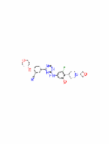 COc1cc(Nc2ncnc(-c3ccc(OC4CCOCC4)c(C#N)c3)n2)cc(F)c1C1CCN(C2COC2)CC1